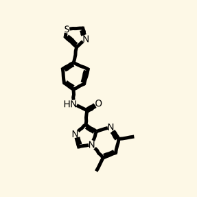 Cc1cc(C)n2cnc(C(=O)Nc3ccc(-c4cscn4)cc3)c2n1